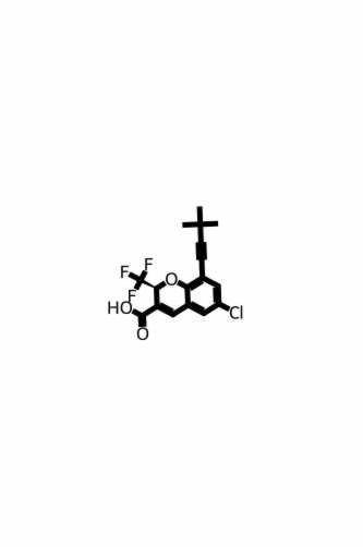 CC(C)(C)C#Cc1cc(Cl)cc2c1O[C@H](C(F)(F)F)C(C(=O)O)=C2